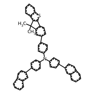 CC1(C)c2cc(-c3ccc(N(c4ccc(-c5ccc6ccccc6c5)cc4)c4ccc(-c5ccc6ccccc6c5)cc4)cc3)ccc2-c2sc3ccccc3c21